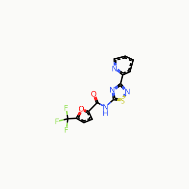 O=C(Nc1nc(-c2ccccn2)ns1)c1ccc(C(F)(F)F)o1